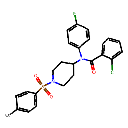 CCc1ccc(S(=O)(=O)N2CCC(N(C(=O)c3ccccc3Cl)c3ccc(F)cc3)CC2)cc1